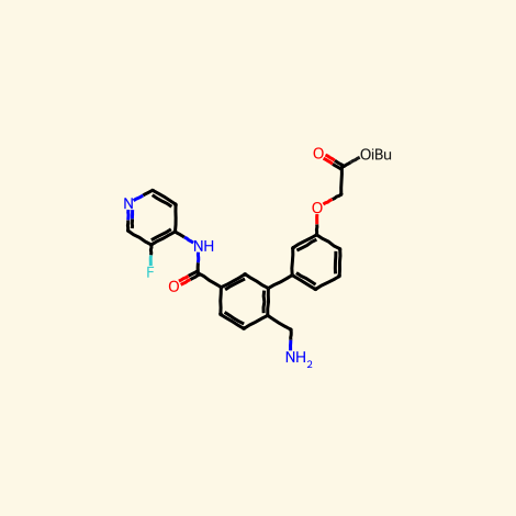 CC(C)COC(=O)COc1cccc(-c2cc(C(=O)Nc3ccncc3F)ccc2CN)c1